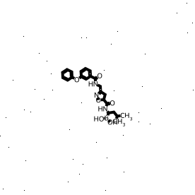 CC(C)CC(NC(=O)C1CC(CNC(=O)c2cccc(Oc3ccccc3)c2)=NO1)B(O)O